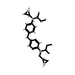 CCC(C)N(CC1CO1)c1ccc(Cc2ccc(N(C(C)CC)C3CO3)cc2)cc1